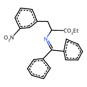 CCOC(=O)C(Cc1cccc([N+](=O)[O-])c1)N=C(c1ccccc1)c1ccccc1